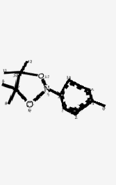 Cc1ccc(N2OC(C)(C)C(C)(C)O2)cc1